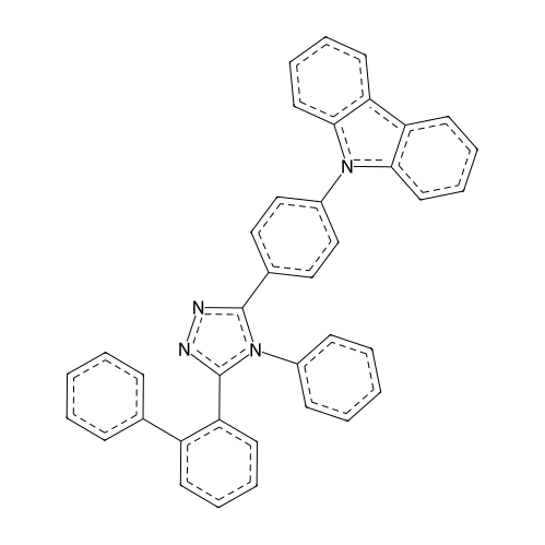 c1ccc(-c2ccccc2-c2nnc(-c3ccc(-n4c5ccccc5c5ccccc54)cc3)n2-c2ccccc2)cc1